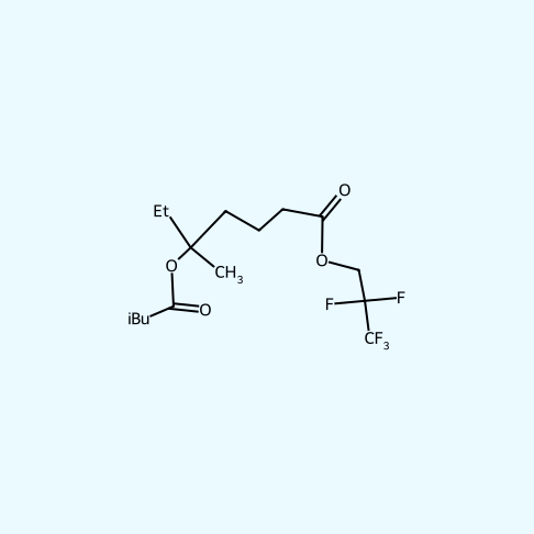 CCC(C)C(=O)OC(C)(CC)CCCC(=O)OCC(F)(F)C(F)(F)F